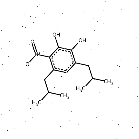 CC(C)Cc1cc(CC(C)C)c([N+](=O)[O-])c(O)c1O